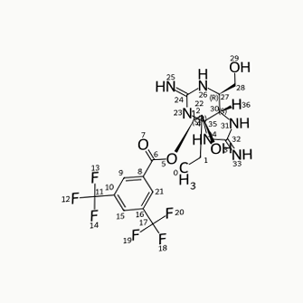 CC[C@]1(O)[C@@H](OC(=O)c2cc(C(F)(F)F)cc(C(F)(F)F)c2)CN2C(=N)N[C@@H](CO)[C@@H]3NC(=N)NC321